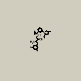 CCC1CC(C)CN1c1cccc(C2(NCC(O)C(N)Cc3cc(F)cc(F)c3)CC2)c1